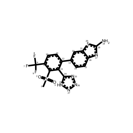 CS(=O)(=O)c1c(C(F)(F)F)ccc(-c2ccc3nc(N)sc3c2)c1-c1nnn[nH]1